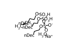 C=C.CCCCCCCCCCCCOS(=O)(=O)O.CCCCCCCCCCCCOS(=O)(=O)O.CCCCCCCCCCCCOS(=O)(=O)[O-].O.[Na+]